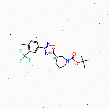 Cc1ccc(-c2noc([C@@H]3CCCN(C(=O)OC(C)(C)C)C3)n2)cc1C(F)(F)F